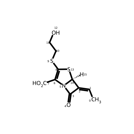 CC=C1C(=O)N2C(C(=O)O)=C(SCCO)S[C@@H]12